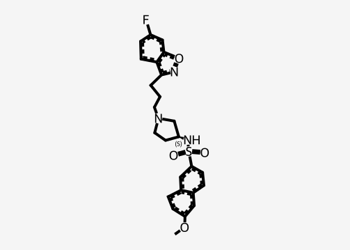 COc1ccc2cc(S(=O)(=O)N[C@H]3CCN(CCCc4noc5cc(F)ccc45)C3)ccc2c1